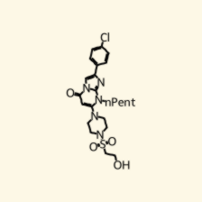 CCCCCn1c(N2CCN(S(=O)(=O)CCO)CC2)cc(=O)n2cc(-c3ccc(Cl)cc3)nc12